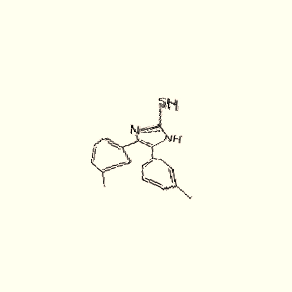 Cc1cccc(-c2nc(S)[nH]c2-c2cccc(C)c2)c1